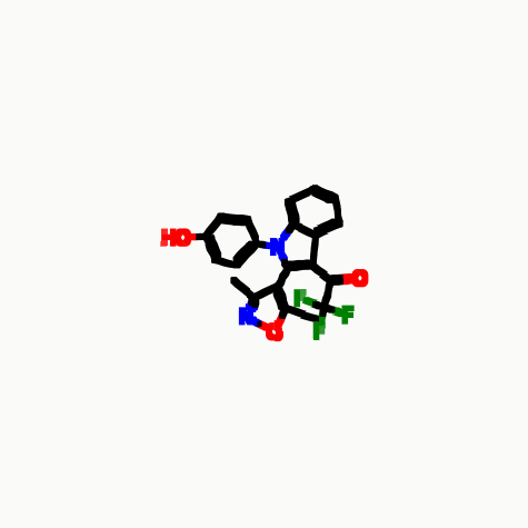 Cc1noc(C)c1-c1c(C(=O)C(F)(F)F)c2ccccc2n1-c1ccc(O)cc1